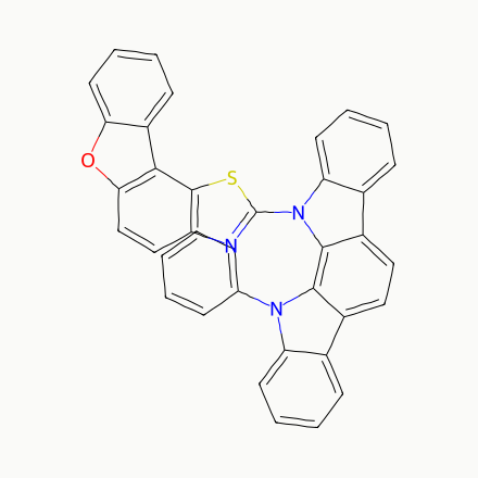 c1ccc(-n2c3ccccc3c3ccc4c5ccccc5n(-c5nc6ccc7oc8ccccc8c7c6s5)c4c32)cc1